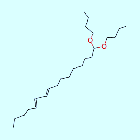 CCCCC=CC=CCCCCCCCC(OCCCC)OCCCC